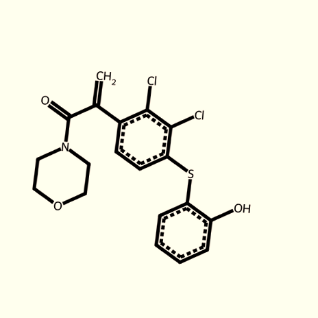 C=C(C(=O)N1CCOCC1)c1ccc(Sc2ccccc2O)c(Cl)c1Cl